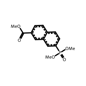 COC(=O)c1ccc2ccc(P(=O)(OC)OC)cc2c1